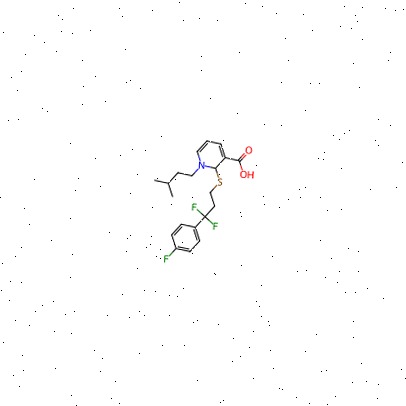 CC(C)CCN1C=CC=C(C(=O)O)C1SCCC(F)(F)c1ccc(F)cc1